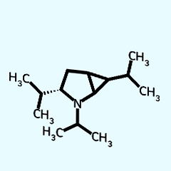 CC(C)C1C2C[C@@H](C(C)C)N(C(C)C)C21